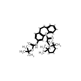 CC(C)(C)OC(=O)Nc1ccc2c(c1)N(C(=O)CN1C(C)(C)CCCC1(C)C)c1ccccc1CC2